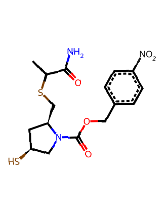 CC(SC[C@@H]1C[C@H](S)CN1C(=O)OCc1ccc([N+](=O)[O-])cc1)C(N)=O